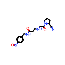 N#CC1CCCN1C(=O)CNCCC(=O)NCc1ccc(N=O)cc1